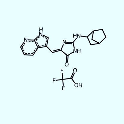 O=C(O)C(F)(F)F.O=C1NC(NC2CC3CCC2C3)=N/C1=C\c1c[nH]c2ncccc12